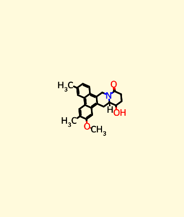 COc1cc2c3c(c4ccc(C)cc4c2cc1C)CN1C(=O)CCC(O)[C@@H]1C3